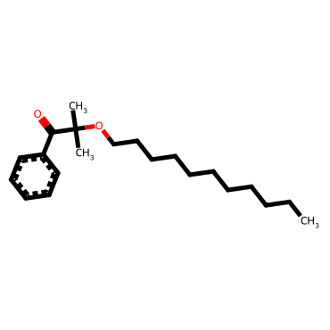 CCCCCCCCCCCOC(C)(C)C(=O)c1ccccc1